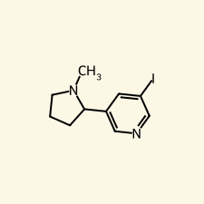 CN1CCCC1c1cncc(I)c1